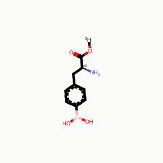 [2H]OC(=O)[C@@H](N)Cc1ccc(B(O)O)cc1